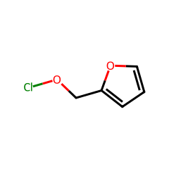 ClOCc1ccco1